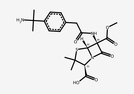 COC(=O)[C@]1(NC(=O)Cc2ccc(C(C)(C)N)cc2)C(=O)N2[C@@H](C(=O)O)C(C)(C)S[C@@H]21